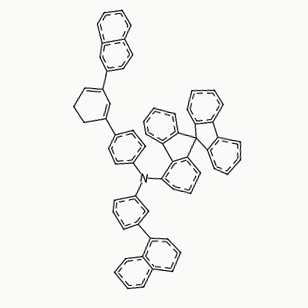 C1=C(c2ccc3ccccc3c2)C=C(c2ccc(N(c3cccc(-c4cccc5ccccc45)c3)c3cccc4c3-c3ccccc3C43c4ccccc4-c4ccccc43)cc2)CC1